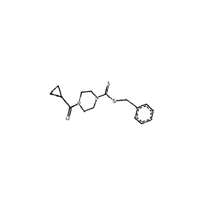 O=C(C1CC1)N1CCN(C(=S)SCc2ccccc2)CC1